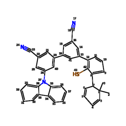 CC1(C)C=CC=CC1c1cccc(-c2cc(C#N)cc(-c3cc(C#N)cc(-n4c5ccccc5c5ccccc54)c3)c2)c1S